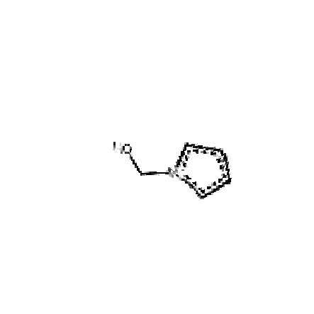 OCn1cccc1